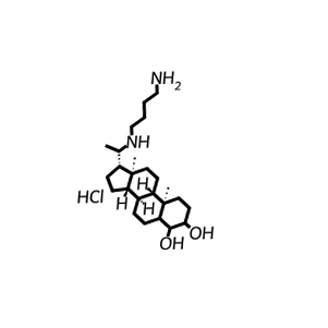 CC(NCCCCN)[C@H]1CC[C@H]2[C@@H]3CCC4C(O)C(O)CC[C@]4(C)[C@H]3CC[C@]12C.Cl